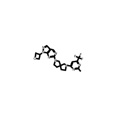 Cc1nc(N2CCC3(CCN(c4ncc5cnn(C6COC6)c5n4)C3)C2)cc(C(F)(F)F)n1